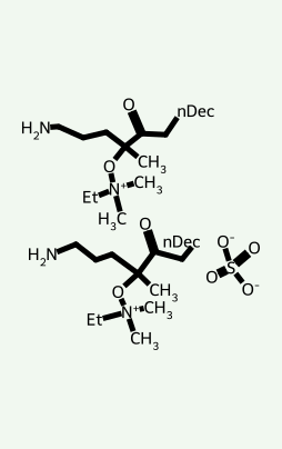 CCCCCCCCCCCC(=O)C(C)(CCCN)O[N+](C)(C)CC.CCCCCCCCCCCC(=O)C(C)(CCCN)O[N+](C)(C)CC.O=S(=O)([O-])[O-]